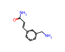 NCc1cccc(C=CC(N)=O)c1